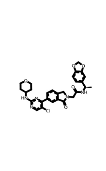 C[C@@H](NC(=O)CN1Cc2ccc(-c3nc(NC4CCOCC4)ncc3Cl)cc2C1=O)c1ccc2c(c1)OCO2